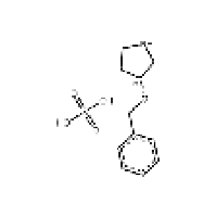 O=S(=O)(O)O.c1ccc(CO[C@@H]2CCNC2)cc1